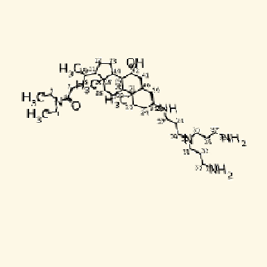 CCN(CC)C(=O)CC[C@@H](C)C1CCC2C3C(CC[C@@]21C)[C@@]1(C)CC[C@H](NCCCN(CCCN)CCCN)CC1C[C@H]3O